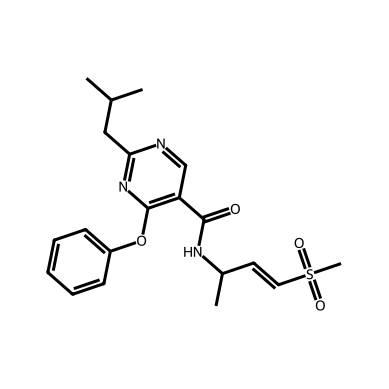 CC(C)Cc1ncc(C(=O)NC(C)/C=C/S(C)(=O)=O)c(Oc2ccccc2)n1